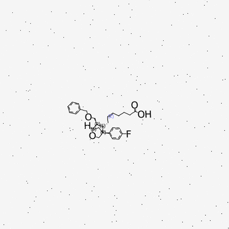 O=C(O)CCC/C=C\C[C@H]1[C@H](COCc2ccccc2)[C@@H]2C[C@@]1(c1ccc(F)cc1)CO2